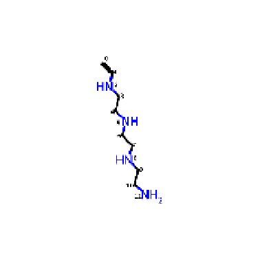 C=CNCCNCCNCCN